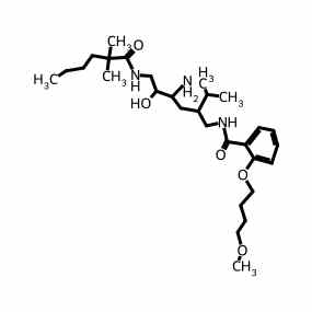 CCCCC(C)(C)C(=O)NCC(O)C(N)CC(CNC(=O)c1ccccc1OCCCCOC)C(C)C